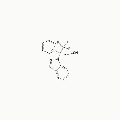 OCC(c1ccccc1)(n1ncc2ncccc21)C(F)(F)F